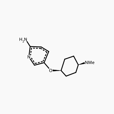 CN[C@H]1CC[C@@H](Oc2ccc(N)nc2)CC1